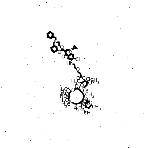 CC[C@H]1OC(=O)[C@H](C)[C@@H](O[C@H]2C[C@@](C)(OC)[C@@H](OC(=O)CCOCCNc3cc4c(=O)c(C(=O)OCCN(Cc5ccccc5)Cc5ccccc5)cn(C5CC5)c4cc3Cl)[C@H](C)O2)[C@H](C)[C@@H](O[C@@H]2O[C@H](C)C[C@H](N(C)C)[C@H]2O)[C@](C)(O)C[C@@H](C)CN(C)[C@H](C)[C@@H](O)[C@]1(C)O